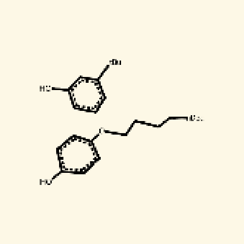 CC(C)(C)c1cccc(O)c1.CCCCCCCCCCCCCCOc1ccc(O)cc1